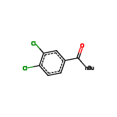 CCCCC(=O)c1ccc(Cl)c(Cl)c1